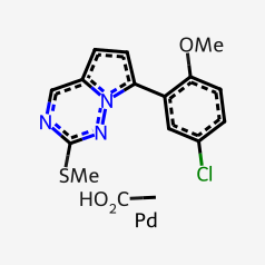 CC(=O)O.COc1ccc(Cl)cc1-c1ccc2cnc(SC)nn12.[Pd]